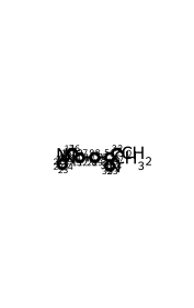 C=C/C=C\c1cc(-c2ccc(-c3ccc4c(ccc5nc6ccccc6n54)c3)cc2)c2cccnc2c1C